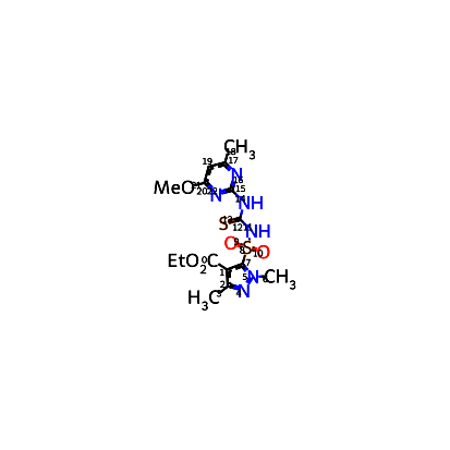 CCOC(=O)c1c(C)nn(C)c1S(=O)(=O)NC(=S)Nc1nc(C)cc(OC)n1